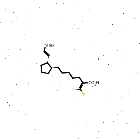 CCCCCCC=C[C@H]1CCC[C@@H]1CCCCCC(C(=O)O)=C(F)F